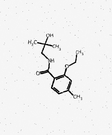 CCOc1cc(C)ccc1C(=O)NCC(C)(C)O